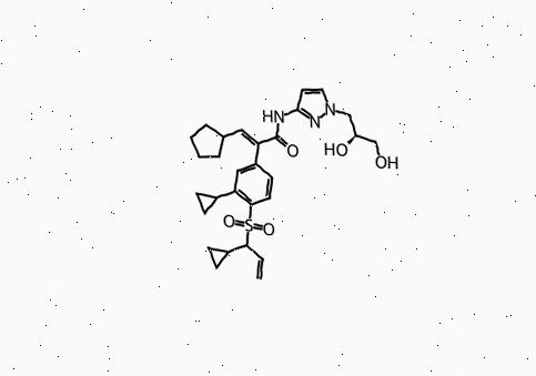 C=CC(C1CC1)S(=O)(=O)c1ccc(/C(=C\C2CCCC2)C(=O)Nc2ccn(C[C@H](O)CO)n2)cc1C1CC1